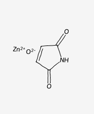 O=C1C=CC(=O)N1.[O-2].[Zn+2]